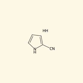 N#Cc1ccc[nH]1.[HH]